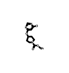 CC(C)OC(=O)N1CCC(Oc2cc(Cl)ncn2)CC1